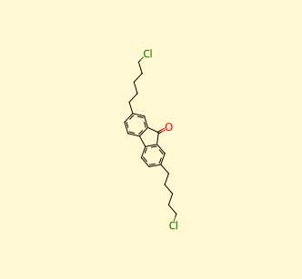 O=C1c2cc(CCCCCCl)ccc2-c2ccc(CCCCCCl)cc21